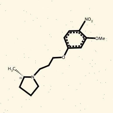 COc1cc(OCCCN2CCC[C@@H]2C)ccc1[N+](=O)[O-]